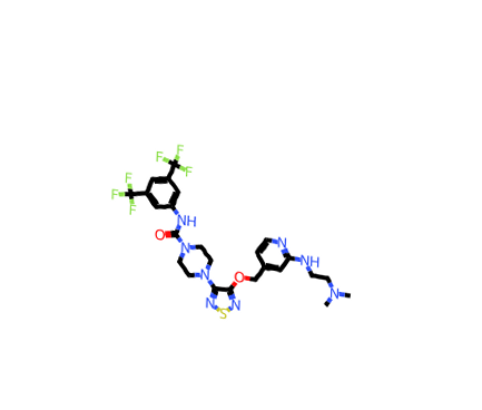 CN(C)CCNc1cc(COc2nsnc2N2CCN(C(=O)Nc3cc(C(F)(F)F)cc(C(F)(F)F)c3)CC2)ccn1